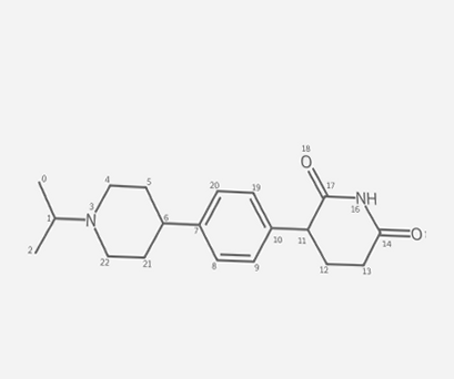 CC(C)N1CCC(c2ccc(C3CCC(=O)NC3=O)cc2)CC1